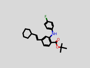 CC(C)(C)OC(=O)c1ccc(C=CC2CCCCC2)cc1Nc1ccc(F)cc1